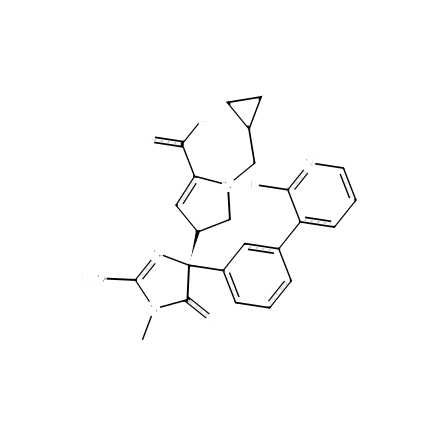 CCC(=O)C1=CC([C@]2(c3cccc(-c4cccnc4F)c3)N=C(N)N(C)C2=O)CN1CC1CC1